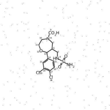 NS(=O)(=O)NCC1CN(C(=O)O)CCOC1c1ccc(Cl)c(Cl)c1